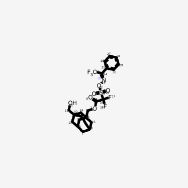 O=C(OCC12CC3CC(CC(CO)(C3)C1)C2)C(F)(F)S(=O)(=O)O/N=C(/c1ccccc1)C(F)(F)F